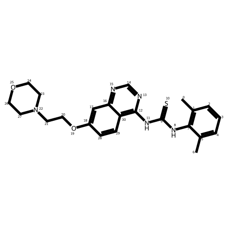 Cc1cccc(C)c1NC(=S)Nc1ncnc2cc(OCCN3CCOCC3)ccc12